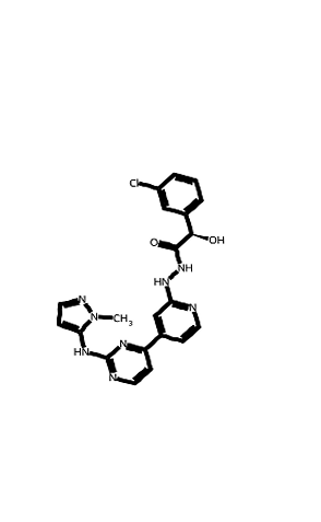 Cn1nccc1Nc1nccc(-c2ccnc(NNC(=O)[C@H](O)c3cccc(Cl)c3)c2)n1